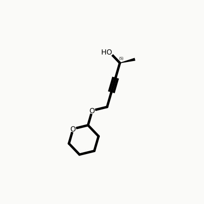 C[C@H](O)C#CCOC1CCCCO1